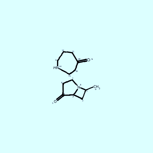 CC1CC2C(=O)CCN12.O=C1CCCNCC1